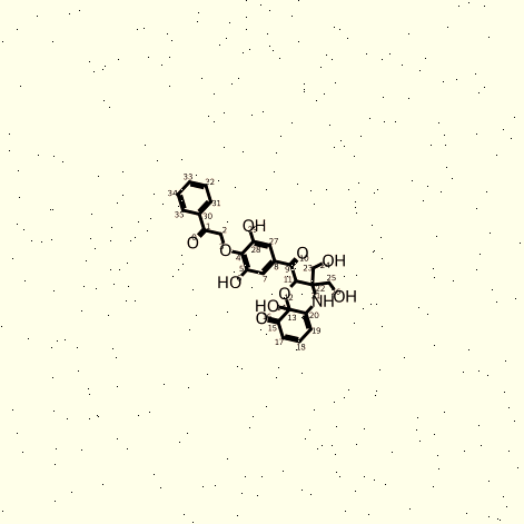 O=C(COc1c(O)cc(C(=O)C2OC3(O)C(=O)C=CC=C3NC2(CO)CO)cc1O)c1ccccc1